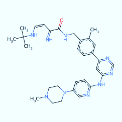 Cc1cc(-c2cc(Nc3ccc(N4CCN(C)CC4)cn3)ncn2)ccc1CNC(=O)C(=N)/C=C\NC(C)(C)C